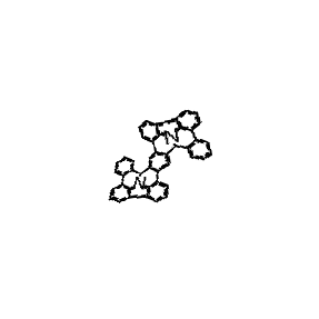 c1ccc2c(c1)-c1cccc3c4cccc5c4n(c13)C2c1cc2c(cc1-5)C1c3ccccc3-c3cccc4c5cccc-2c5n1c34